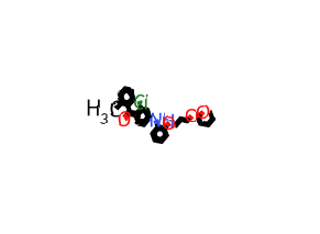 Cc1ccccc1C(=O)c1ccc(Nc2ccccc2OCCCOC2CCCCO2)cc1Cl